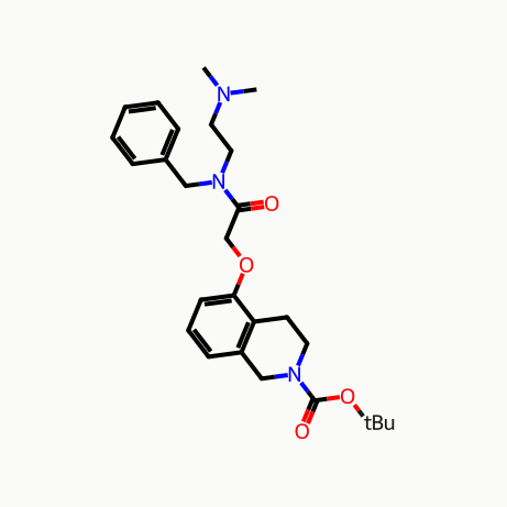 CN(C)CCN(Cc1ccccc1)C(=O)COc1cccc2c1CCN(C(=O)OC(C)(C)C)C2